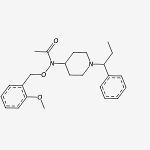 CCC(c1ccccc1)N1CCC(N(OCc2ccccc2OC)C(C)=O)CC1